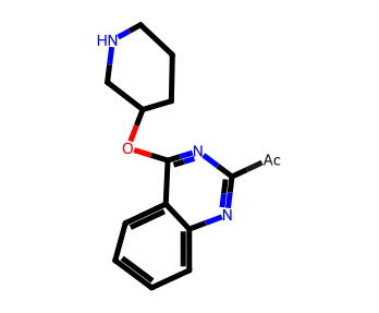 CC(=O)c1nc(OC2CCCNC2)c2ccccc2n1